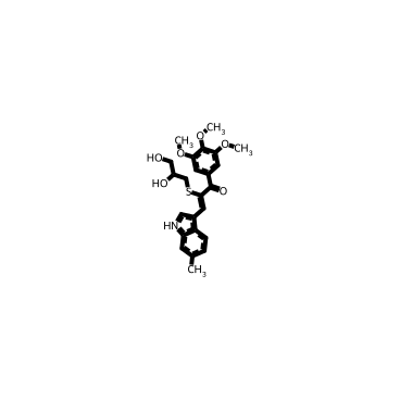 COc1cc(C(=O)C(=Cc2c[nH]c3cc(C)ccc23)SCC(O)CO)cc(OC)c1OC